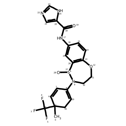 CC1(C(F)(F)F)C=CC(N2CCOc3ccc(NC(=O)c4cnc[nH]4)cc3[S+]2[O-])=CC1